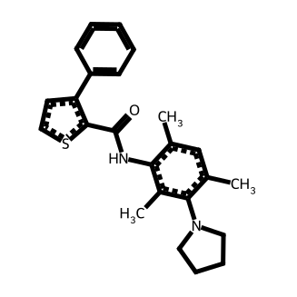 Cc1cc(C)c(N2CCCC2)c(C)c1NC(=O)c1sccc1C1=CC=C=C=C1